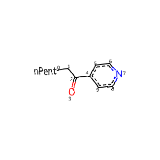 CCCCCCC(=O)c1ccncc1